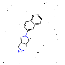 c1ccc2cc(N3CC4CNCC4C3)ccc2c1